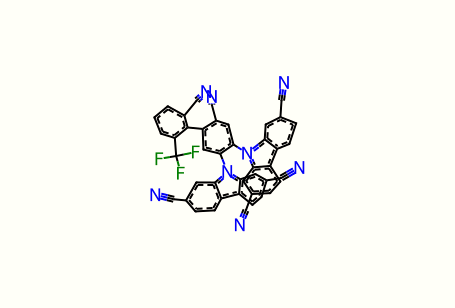 N#Cc1ccc2c3ccc(C#N)cc3n(-c3cc(C#N)c(-c4c(C#N)cccc4C(F)(F)F)cc3-n3c4cc(C#N)ccc4c4ccc(C#N)cc43)c2c1